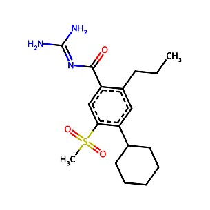 CCCc1cc(C2CCCCC2)c(S(C)(=O)=O)cc1C(=O)N=C(N)N